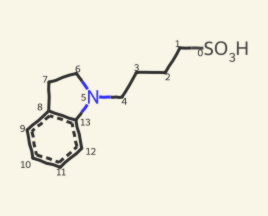 O=S(=O)(O)CCCCN1CCc2ccccc21